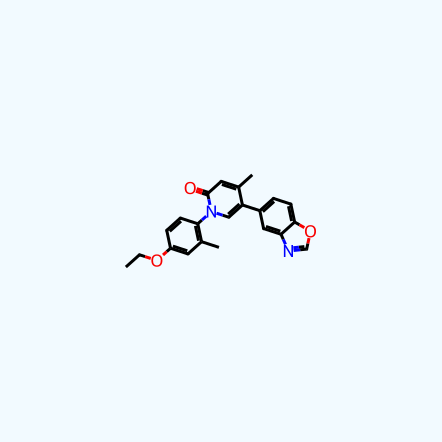 CCOc1ccc(-n2cc(-c3ccc4ocnc4c3)c(C)cc2=O)c(C)c1